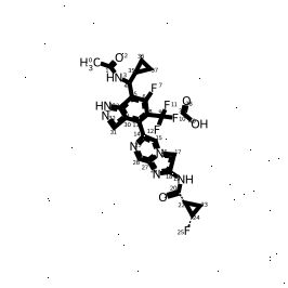 CC(=O)NC(c1c(F)c(C(F)(F)F)c(-c2cn3cc(NC(=O)[C@@H]4C[C@@H]4F)nc3cn2)c2cn[nH]c12)C1CC1.O=CO